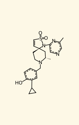 Cc1cncc(N2[C@]3(C=CS2(=O)=O)CCN(Cc2ccc(O)c(C4CC4)c2)[C@@H](C)C3)n1